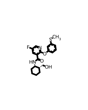 CSc1cccc(Oc2ncc(F)cc2C(=O)N[C@H]2CCCC[C@H]2CO)c1